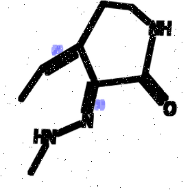 C/C=C1/CCNC(=O)/C1=N/NC